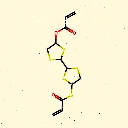 C=CC(=O)OC1CSC(C2SCC(SC(=O)C=C)S2)S1